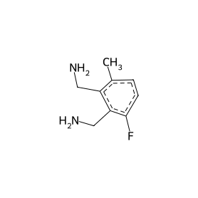 Cc1ccc(F)c(CN)c1CN